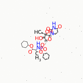 C#C[C@@]1(O)[C@H](O)[C@@H](COP(=O)(NC(C)C(=O)OC2CCCCC2)Oc2ccccc2)O[C@H]1n1ccc(=O)[nH]c1=O